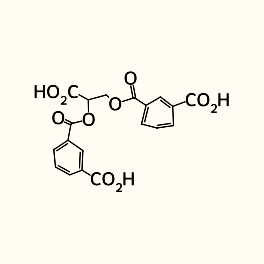 O=C(O)c1cccc(C(=O)OCC(OC(=O)c2cccc(C(=O)O)c2)C(=O)O)c1